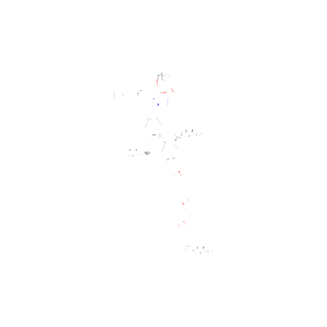 COCCOCCOCCOCc1cc(OC)c(-c2ccc(CC(NC(=O)OC(C)(C)C)C(=O)O)cc2)c(OC)c1